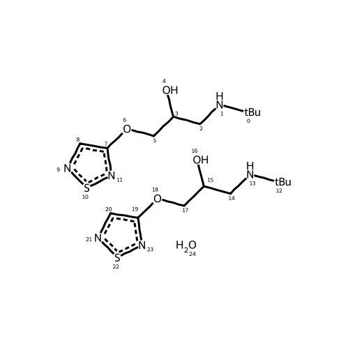 CC(C)(C)NCC(O)COc1cnsn1.CC(C)(C)NCC(O)COc1cnsn1.O